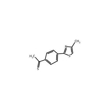 CC(=S)c1ccc(-c2nc(C)cs2)cc1